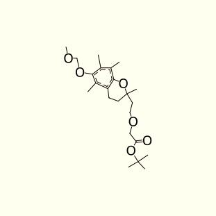 COCOc1c(C)c(C)c2c(c1C)CCC(C)(CCOCC(=O)OC(C)(C)C)O2